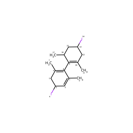 CC1=CC(I)CC(C)=C1C1=C(C)CC(I)CC1C